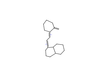 C=C1CCCC/C1=C\C=C1\CCCC2CCCCC12